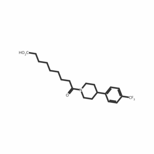 O=C(O)CCCCCCCC(=O)N1CCC(c2ccc(C(F)(F)F)cc2)CC1